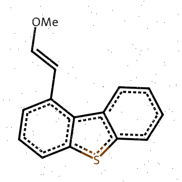 COC=Cc1cccc2sc3ccccc3c12